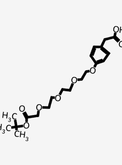 CC(C)(C)OC(=O)COCCOCCOCCOc1ccc(CC(=O)O)cc1